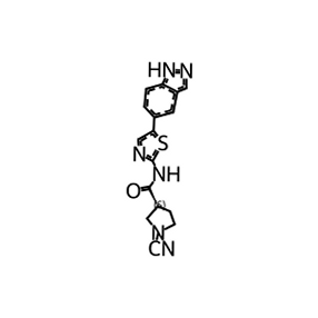 N#CN1CC[C@H](C(=O)Nc2ncc(-c3ccc4[nH]ncc4c3)s2)C1